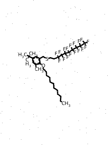 CCCCCCCCCCCCOc1c(C)cc(C(C)(C)C)cc1CSCCC(F)(F)C(F)(F)C(F)(F)C(F)(F)C(F)(F)C(F)(F)C(F)(F)C(F)(F)F